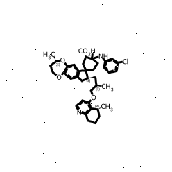 C[C@@H](COc1ccnc2c1[C@H](C)CCC2)C[C@H]1Cc2cc3c(cc2C12CCC(Nc1cccc(Cl)c1)(C(=O)O)CC2)O[C@@H](C)CCO3